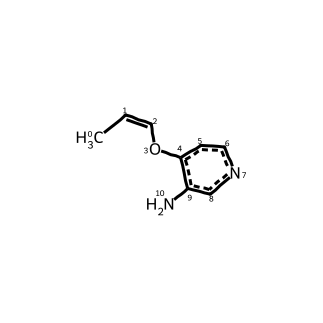 C/C=C\Oc1ccncc1N